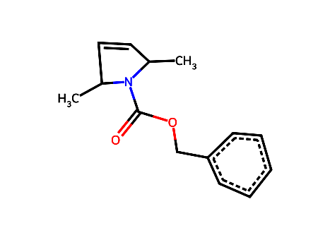 CC1C=CC(C)N1C(=O)OCc1ccccc1